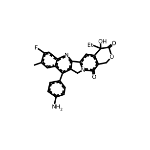 CCC1(O)C(=O)OCc2c1cc1n(c2=O)Cc2c-1nc1cc(F)c(C)cc1c2-c1ccc(N)cc1